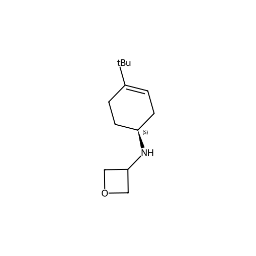 CC(C)(C)C1=CC[C@@H](NC2COC2)CC1